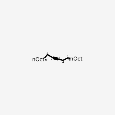 [CH2]CCCCCCCCC#CCCCCCCCCC[CH2]